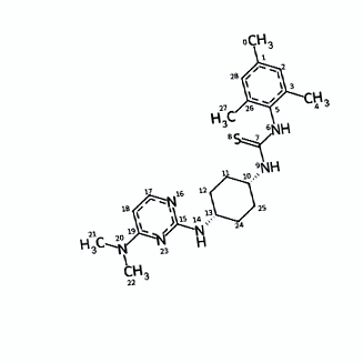 Cc1cc(C)c(NC(=S)N[C@H]2CC[C@@H](Nc3nccc(N(C)C)n3)CC2)c(C)c1